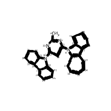 Cc1nc(-n2c3c(c4ccccc42)C=C=C=CC3)cc(-n2c3ccccc3c3ccccc32)n1